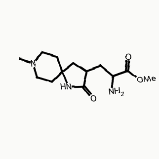 COC(=O)C(N)CC1CC2(CCN(C)CC2)NC1=O